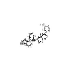 Cc1cccc(C(=O)Nc2cc(Nc3ncccc3-c3ncnc4[nH]cnc34)ccc2F)c1